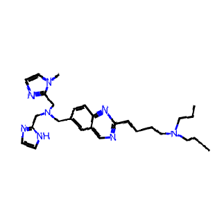 CCCN(CCC)CCCCc1ncc2cc(CN(Cc3ncc[nH]3)Cc3nccn3C)ccc2n1